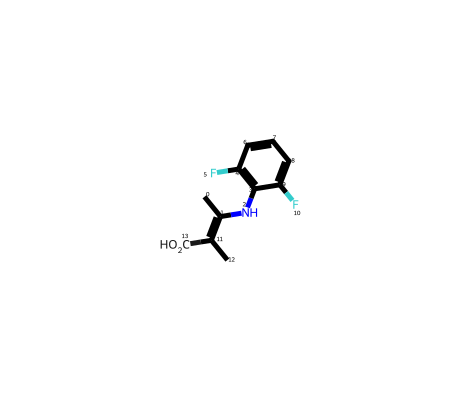 CC(Nc1c(F)cccc1F)=C(C)C(=O)O